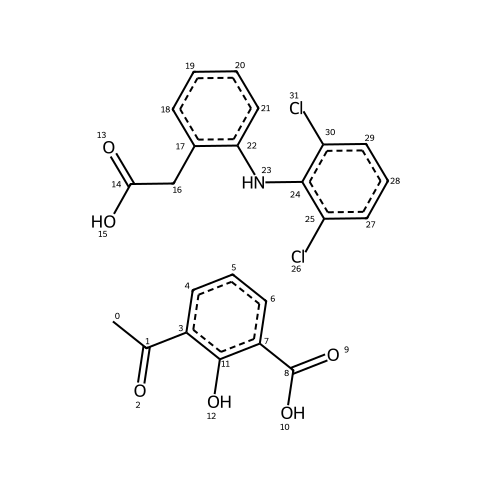 CC(=O)c1cccc(C(=O)O)c1O.O=C(O)Cc1ccccc1Nc1c(Cl)cccc1Cl